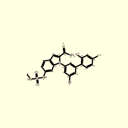 CNS(=O)(=O)Nc1ccc2cc(C(N)=O)n(-c3cc(Br)cc(-c4ccc(F)cc4F)c3)c2c1